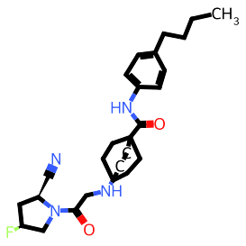 CCCCc1ccc(NC(=O)C23CCC(NCC(=O)N4C[C@@H](F)C[C@H]4C#N)(CC2)CC3)cc1